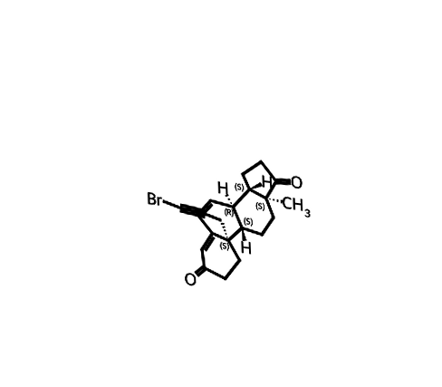 C[C@]12CC[C@H]3[C@@H](C=CC4=CC(=O)CC[C@@]43CC#CBr)[C@@H]1CCC2=O